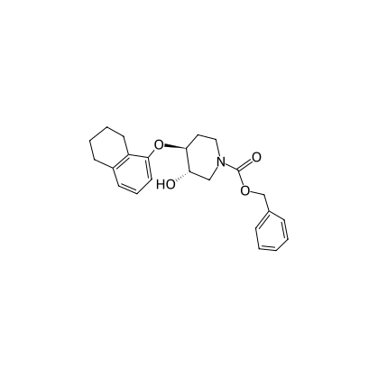 O=C(OCc1ccccc1)N1CC[C@H](Oc2cccc3c2CCCC3)[C@@H](O)C1